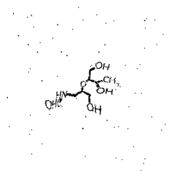 CC(O)C(CO)OC(CO)CNC=O